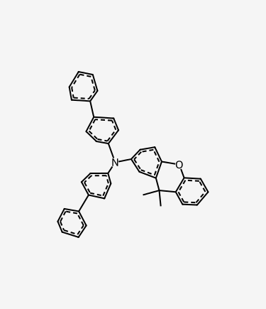 CC1(C)c2ccccc2Oc2ccc(N(c3ccc(-c4ccccc4)cc3)c3ccc(-c4ccccc4)cc3)cc21